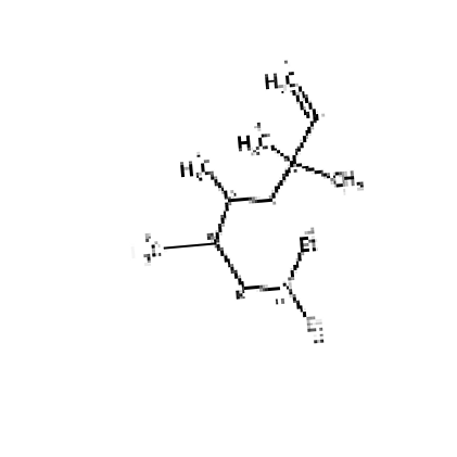 C=CC(C)(C)CC(C)C(C)CN(CC)CC